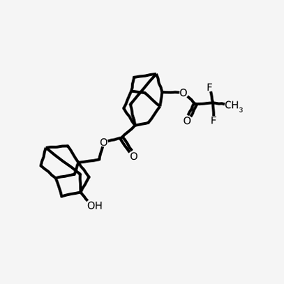 CC(F)(F)C(=O)OC1C2CC3CC1CC(C(=O)OCC14CC5CC(CC(O)(C5)C1)C4)(C3)C2